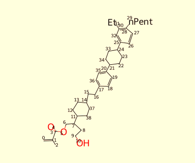 C=C(C)C(=O)OCC(CCO)C1CCC(CCc2ccc(C3CCC(c4ccc(CCCCC)c(CC)c4)CC3)cc2)CC1